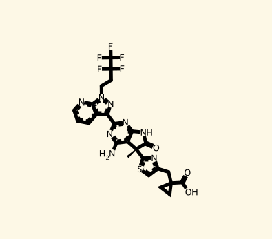 C[C@]1(c2nc(CC3(C(=O)O)CC3)cs2)C(=O)Nc2nc(-c3nn(CCC(F)(F)C(F)(F)F)c4ncccc34)nc(N)c21